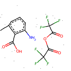 Cc1cccc(N)c1C(=O)O.O=C(OC(=O)C(F)(F)F)C(F)(F)F